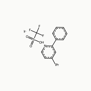 CC(C)c1ccnc(-c2ccccc2)c1.O=S(=O)(O)C(F)(F)F.[Ir]